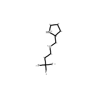 FC(F)(F)CCOCC1CCCN1